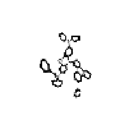 c1ccc(-c2ccc3c(c2)c2ccccc2c2ccc(N4c5ccc(N(c6ccccc6)c6ccccc6)cc5Oc5cc(N(c6ccccc6)c6ccccc6)ccc54)cc23)cc1